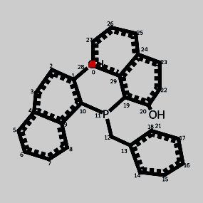 Oc1ccc2ccccc2c1P(Cc1ccccc1)c1c(O)ccc2ccccc12